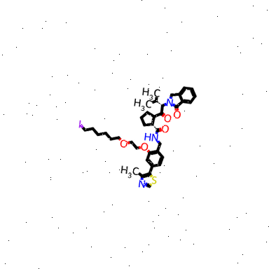 Cc1ncsc1-c1ccc(CNC(=O)[C@@H]2CCCC2C(=O)[C@H](C(C)C)N2Cc3ccccc3C2=O)c(OCCOCCCCCCI)c1